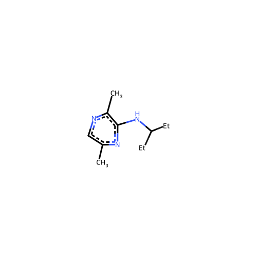 CCC(CC)Nc1nc(C)cnc1C